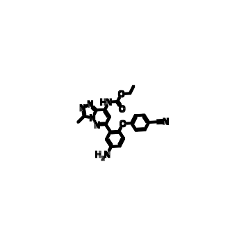 CCOC(=O)Nc1cc(-c2cc(N)ccc2Oc2ccc(C#N)cc2)nn2c(C)nnc12